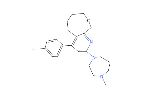 CN1CCCN(c2cc(-c3ccc(F)cc3)c3c(n2)CCCCCC3)CC1